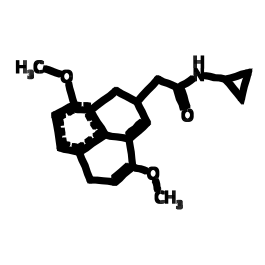 COC1=CCc2ccc(OC)c3c2C1=CC(CC(=O)NC1CC1)C3